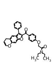 CCN(CC)C(=O)COc1ccc(C(=O)c2oc3cc4c(cc3c2-c2ccccc2)CC=CO4)cc1